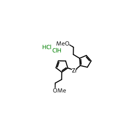 COCCC1=[C]([Zr][C]2=C(CCOC)C=CC2)CC=C1.Cl.Cl